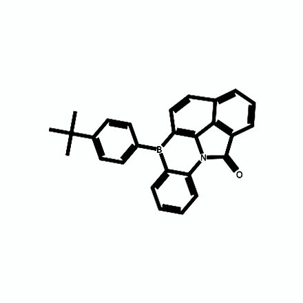 CC(C)(C)c1ccc(B2c3ccccc3N3C(=O)c4cccc5ccc2c3c45)cc1